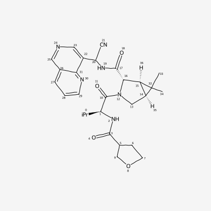 CC(C)[C@H](NC(=O)C1CCOC1)C(=O)N1C[C@H]2[C@@H]([C@H]1C(=O)NC(C#N)c1cncc3cccnc13)C2(C)C